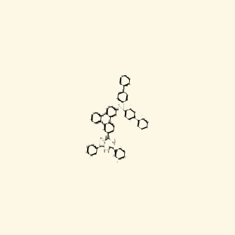 c1ccc(-c2ccc(N(c3ccc(-c4ccccc4)cc3)c3ccc4c5ccccc5c5cc(-c6nc(-c7ccccc7)nc(-c7ccccc7)n6)ccc5c4c3)cc2)cc1